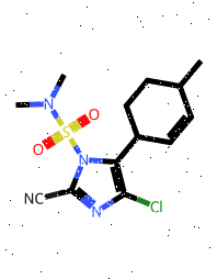 CC1C=CC(c2c(Cl)nc(C#N)n2S(=O)(=O)N(C)C)CC1